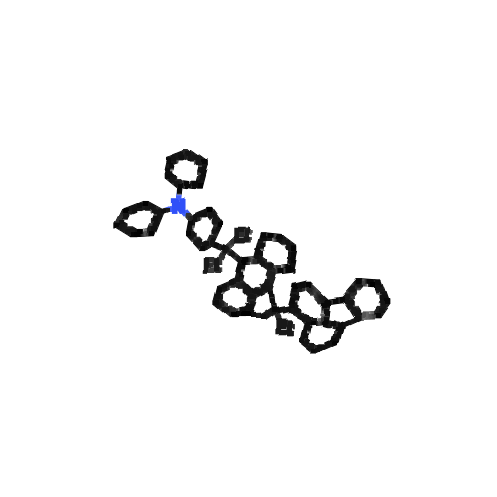 CCC(CC)(c1ccc(N(c2ccccc2)c2ccccc2)cc1)c1c2ccccc2c2c3cc(ccc13)CC2(CC)c1ccc2c3c(cccc13)-c1ccccc1-2